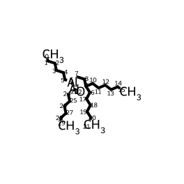 CCCCC[CH2][Al]1[CH2]CC(CCCCCC)(CCCCCC)[O][Al]1[CH2]CCCCC